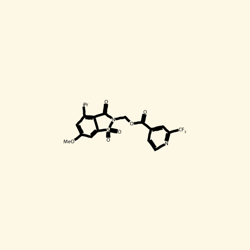 COc1cc(C(C)C)c2c(c1)S(=O)(=O)N(COC(=O)c1ccnc(C(F)(F)F)c1)C2=O